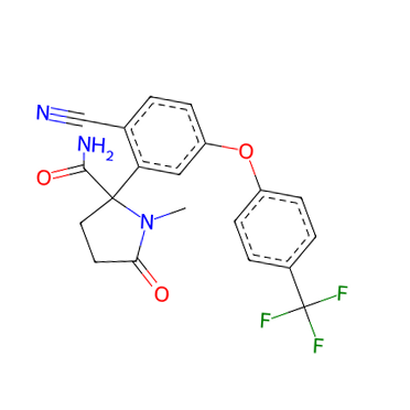 CN1C(=O)CCC1(C(N)=O)c1cc(Oc2ccc(C(F)(F)F)cc2)ccc1C#N